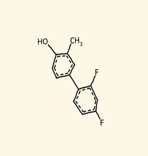 Cc1cc(-c2ccc(F)cc2F)ccc1O